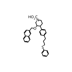 O=C(O)N1CCC(c2ccc(CCCSc3ccccc3)cc2)C(OCc2ccc3ccccc3c2)C1